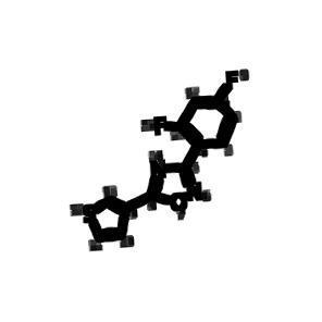 Fc1ccc(-c2noc(-c3ccsc3)n2)c(F)c1